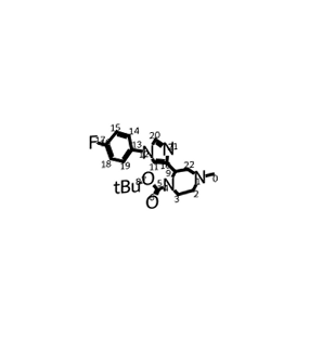 CN1CCN(C(=O)OC(C)(C)C)C(c2cn(-c3ccc(F)cc3)cn2)C1